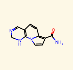 NC(=O)c1ccn2c3c(ccc12)C=NCN3